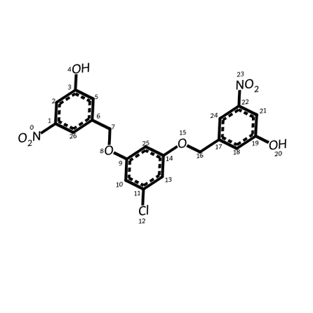 O=[N+]([O-])c1cc(O)cc(COc2cc(Cl)cc(OCc3cc(O)cc([N+](=O)[O-])c3)c2)c1